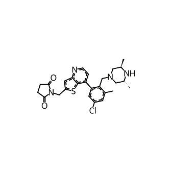 Cc1cc(Cl)cc(-c2ccnc3cc(CN4C(=O)CCC4=O)sc23)c1CN1C[C@@H](C)N[C@H](C)C1